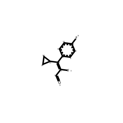 O=CC(F)=C(c1ccc(F)cc1)C1CC1